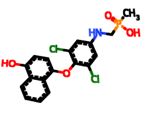 CP(=O)(O)CNc1cc(Cl)c(Oc2ccc(O)c3ccccc23)c(Cl)c1